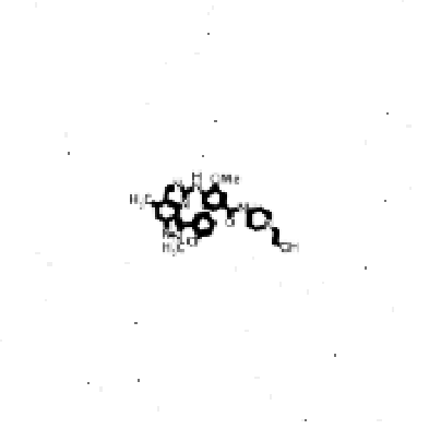 COc1cc(C(=O)NC2CCN(CCO)CC2)ccc1Nc1ncc2c(n1)-c1c(nn(C)c1-c1ccccc1Cl)CC2C